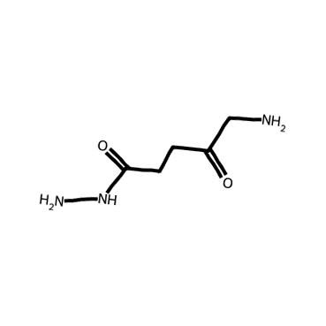 NCC(=O)CCC(=O)NN